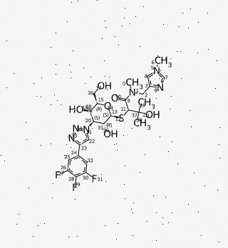 CN(Cc1cn(C)cn1)C(=O)C(S[C@@H]1O[C@H](CO)[C@H](O)[C@H](n2cc(-c3cc(F)c(F)c(F)c3)nn2)[C@H]1O)C(C)(C)O